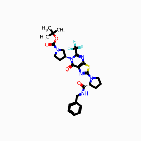 CC(C)(C)OC(=O)N1CC[C@H](n2c(C(F)(F)F)nc3sc(N4CCC[C@@H]4C(=O)NCc4ccccc4)nc3c2=O)C1